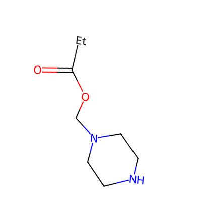 CCC(=O)OCN1CCNCC1